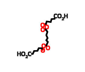 O=C(O)CCCCC(=O)OC(=O)CCCCCC(=O)OC(=O)CCCCC(=O)O